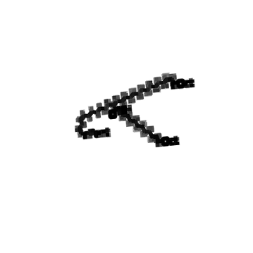 CCCCC/C=C\C/C=C\CCCCCCC(CCCCCCCCCCCC/C=C\CCCCCCCC)C(=O)NCCCCCCCC/C=C/CCCCCCCC